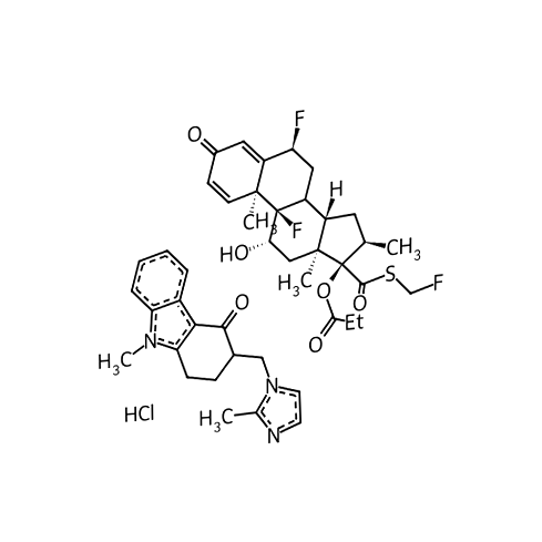 CCC(=O)O[C@]1(C(=O)SCF)[C@H](C)C[C@H]2C3C[C@H](F)C4=CC(=O)C=C[C@]4(C)[C@@]3(F)[C@@H](O)C[C@@]21C.Cc1nccn1CC1CCc2c(c3ccccc3n2C)C1=O.Cl